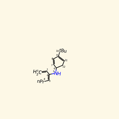 C=C/C(=C\CCC)NC1C=CC(C(C)(C)C)=CC1